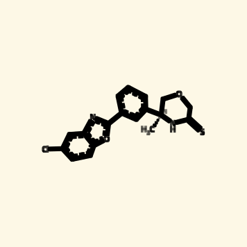 C[C@]1(c2cccc(-c3nc4cc(Cl)ccc4o3)c2)COCC(=S)N1